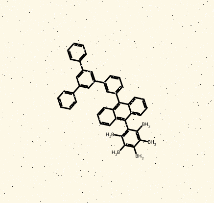 Bc1c(B)c(B)c(-c2c3ccccc3c(-c3cccc(-c4cc(-c5ccccc5)cc(-c5ccccc5)c4)c3)c3ccccc23)c(B)c1B